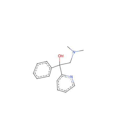 CN(C)CC(O)(c1ccccc1)c1ccccn1